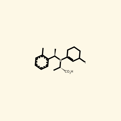 Cc1ccccc1[C@@H](C)N(C1=CC(I)CCC1)[C@@H](C)C(=O)O